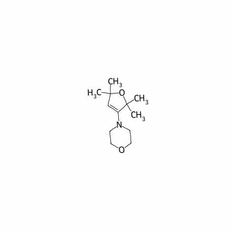 CC1(C)C=C(N2CCOCC2)C(C)(C)O1